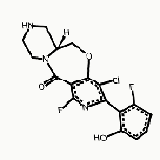 O=C1c2c(F)nc(-c3c(O)cccc3F)c(Cl)c2OC[C@H]2CNCCN12